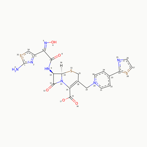 Nc1nc(/C(=N/O)C(=O)N[C@@H]2C(=O)N3C(C(=O)[O-])=C(C[n+]4ccc(-c5nccs5)cc4)CS[C@H]23)cs1